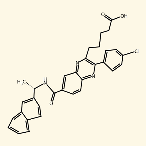 C[C@H](NC(=O)c1ccc2nc(-c3ccc(Cl)cc3)c(CCCCC(=O)O)nc2c1)c1ccc2ccccc2c1